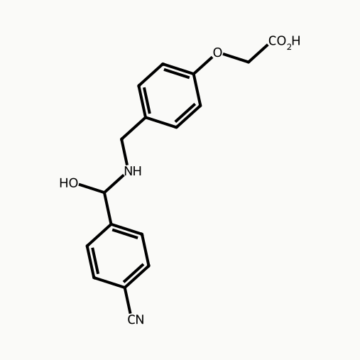 N#Cc1ccc(C(O)NCc2ccc(OCC(=O)O)cc2)cc1